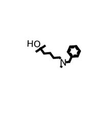 CN(CCCCC(C)(C)O)Cc1ccccc1